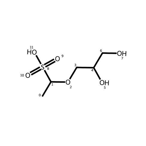 CC(OCC(O)CO)S(=O)(=O)O